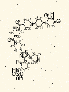 CCCS(=O)(=O)Nc1cccc(-c2nc(C3CCN(C(=O)C4CCN(C(=O)C5CCN(c6ccc([C@@H]7CCC(=O)NC7=O)cc6)CC5)CC4)CC3)sc2-c2ccncc2)c1F